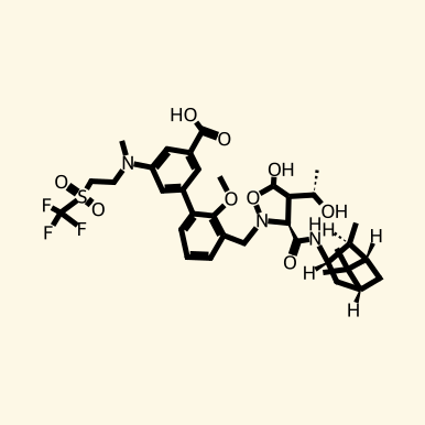 COc1c(CN2OC(O)C([C@H](C)O)[C@H]2C(=O)N[C@H]2C[C@H]3C[C@@H]([C@@H]2C)C3(C)C)cccc1-c1cc(C(=O)O)cc(N(C)CCS(=O)(=O)C(F)(F)F)c1